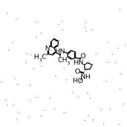 Cc1cc(C(C)Nc2ccc(C(=O)N[C@@H]3CCC[C@@H]3C(=O)NO)cc2)c2ccccc2n1